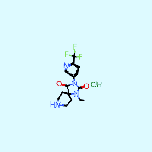 CCN1C(=O)N(c2ccc(C(F)(F)F)nc2)C(=O)C12CCNCC2.Cl